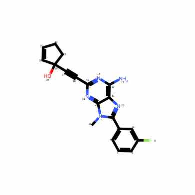 Cn1c(-c2cccc(F)c2)nc2c(N)nc(C#CC3(O)C=CCC3)nc21